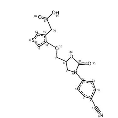 N#Cc1ccc(N2CC(COc3cscc3CC(=O)O)OC2=O)cc1